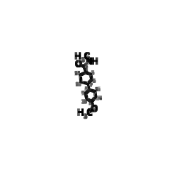 CNC(=O)c1ccc(-c2ccc(OC)cc2)cc1